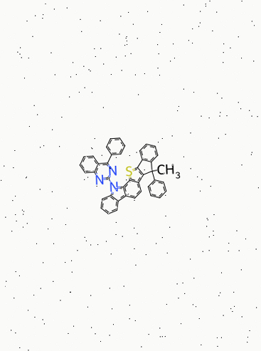 CC1(c2ccccc2)c2ccccc2-c2sc3c(ccc4c5ccccc5n(-c5nc(-c6ccccc6)c6ccccc6n5)c43)c21